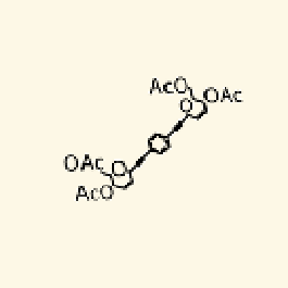 CC(=O)OCC1OC(C#Cc2ccc(C#CC3C=CC(OC(C)=O)C(COC(C)=O)O3)cc2)C=CC1OC(C)=O